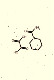 NC(=O)N1CCCCC1.O=C(O)C(=O)O